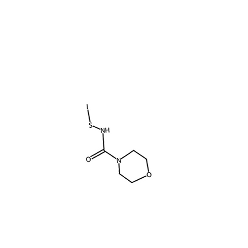 O=C(NSI)N1CCOCC1